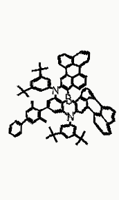 Cc1cc(-c2ccccc2)cc(C)c1-c1cc2c3c(c1)N(c1cc(C(C)(C)C)cc(C(C)(C)C)c1)c1cc4c5cccc6cccc(c7cccc(c1B3c1c(cc3c8cccc9cccc(c%10cccc1c%103)c98)N2c1cc(C(C)(C)C)cc(C(C)(C)C)c1)c74)c65